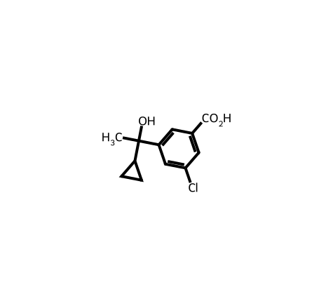 CC(O)(c1cc(Cl)cc(C(=O)O)c1)C1CC1